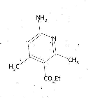 CCOC(=O)c1c(C)cc(N)nc1C